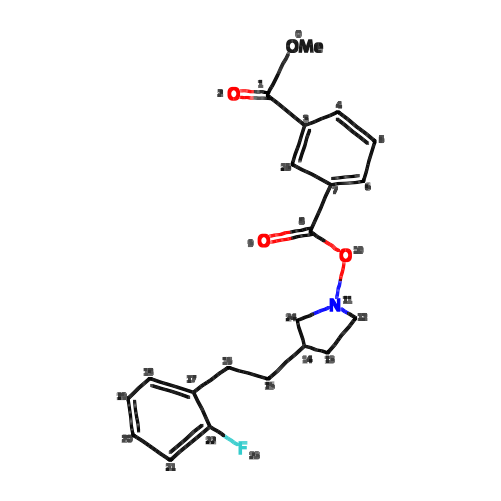 COC(=O)c1cccc(C(=O)ON2CCC(CCc3ccccc3F)C2)c1